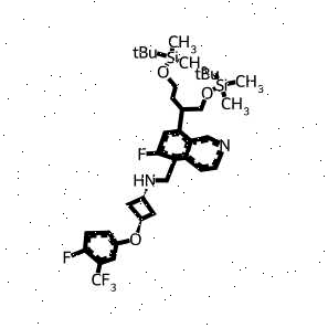 CC(C)(C)[Si](C)(C)OCCC(CO[Si](C)(C)C(C)(C)C)c1cc(F)c(CN[C@H]2C[C@H](Oc3ccc(F)c(C(F)(F)F)c3)C2)c2ccncc12